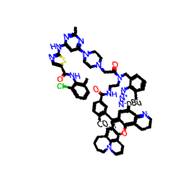 CCCCc1cc2c(c3c1=NCCC3)Oc1c(cc3c4c1CCCN4CCCC3)C=2c1cc(C(=O)NCCN(Cc2cccc(C)c2N=[N+]=[N-])C(=O)CN2CCN(c3cc(Nc4ncc(C(=O)Nc5c(C)cccc5Cl)s4)nc(C)n3)CC2)ccc1C(=O)O